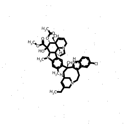 CCC1=C[C@@H]2CN(CCc3c([nH]c4ccc(Cl)cc34)[C@@](C)(c3cc4c(cc3C)N(C)C3C(O)(C(=O)OC)[C@H](OC(C)=O)[C@]5(CC)C=CCN6CC[C@]43[C@@H]65)C2)C1